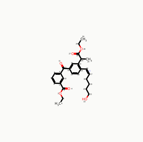 CCOC(=O)c1cccc(C(=O)c2ccc(/C=C\CCCCO)c(C(C)C(=O)OCC)c2)c1